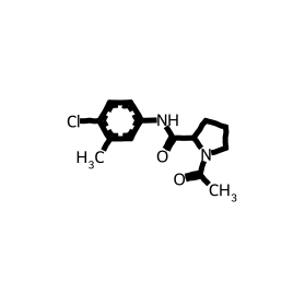 CC(=O)N1CCCC1C(=O)Nc1ccc(Cl)c(C)c1